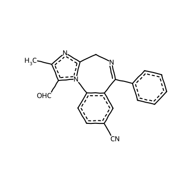 Cc1nc2n(c1C=O)-c1ccc(C#N)cc1C(c1ccccc1)=NC2